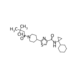 CC(C)(C)CC(=O)N1CCC(c2nc(C(=O)NC3(C4CCCCC4)CC3)cs2)CC1